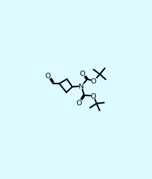 CC(C)(C)OC(=O)N(C(=O)OC(C)(C)C)C1CC(C=O)C1